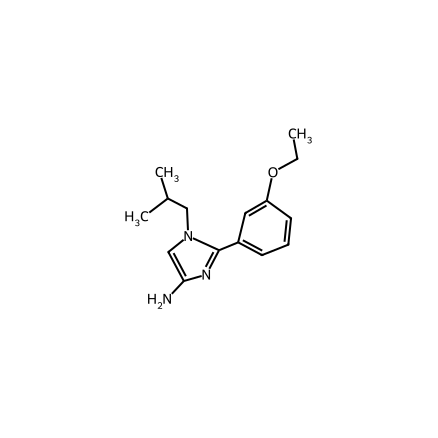 CCOc1cccc(-c2nc(N)cn2CC(C)C)c1